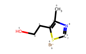 CC1=C(CCO)S[C+]=N1.[Br-]